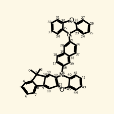 CC1(C)c2ccccc2-c2cc3c(cc21)N(c1ccc2cc(N4c5ccccc5Oc5ccccc54)ccc2c1)c1ccccc1O3